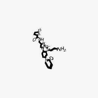 NCC[S+]([O-])c1cc(-n2ccccc2=O)ccc1-n1cc(CNC(=O)c2ccc(Cl)s2)nn1